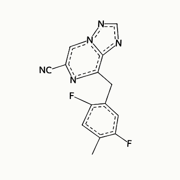 Cc1cc(F)c(Cc2nc(C#N)cn3ncnc23)cc1F